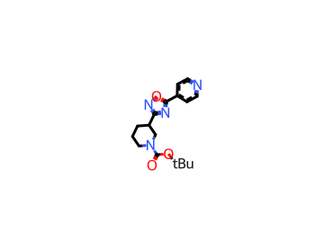 CC(C)(C)OC(=O)N1CCCC(c2noc(-c3ccncc3)n2)C1